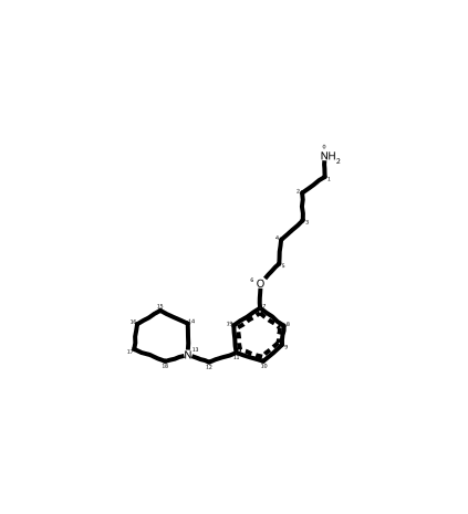 NCCCCCOc1cccc(CN2CCCCC2)c1